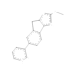 CNc1nc2c(s1)Cc1cc(-c3cccnc3)ccc1-2